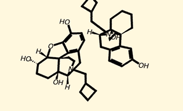 Oc1ccc2c(c1)[C@@]13CCCC[C@@]1(O)[C@@H](C2)N(CC1CCC1)CC3.Oc1ccc2c3c1O[C@H]1[C@@H](O)CC[C@@]4(O)[C@@H](C2)N(CC2CCC2)CC[C@]314